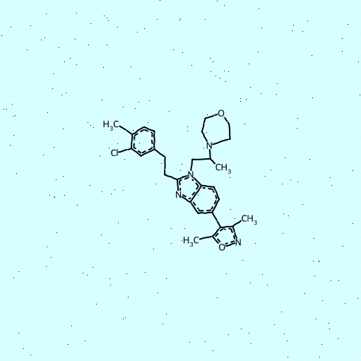 Cc1ccc(CCc2nc3cc(-c4c(C)noc4C)ccc3n2CC(C)N2CCOCC2)cc1Cl